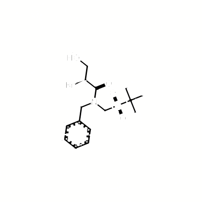 CC(C)(C)S(=O)(=O)CN(Cc1ccccc1)C(=O)[C@@H](Br)CO